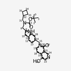 CC(C)(C)OC(=O)N(Cc1cc2ccc(Cn3ccc4c(O)cncc4c3=O)cc2[nH]1)CC1CCC1